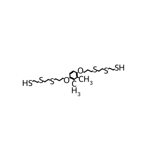 Cc1c(OCCCSCCSCCS)ccc(OCCCSCCSCCS)c1C